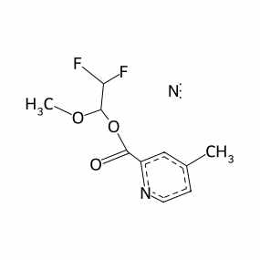 COC(OC(=O)c1cc(C)ccn1)C(F)F.[N]